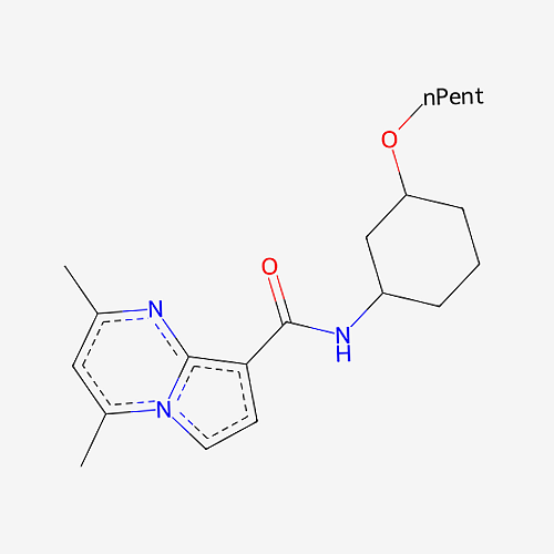 CCCCCOC1CCCC(NC(=O)c2ccn3c(C)cc(C)nc23)C1